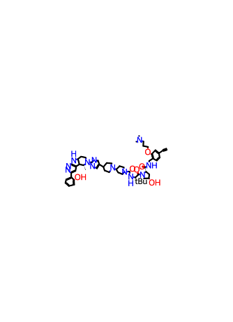 C#Cc1ccc(CNC(=O)[C@@H]2C[C@@H](O)CN2C(=O)[C@@H](NC(=O)N2CCC(N3CCC(c4cnc(N5CCC6Nc7nnc(-c8ccccc8O)cc7C6[C@H]5C)nc4)CC3)CC2)C(C)(C)C)c(OCCCN(C)C)c1